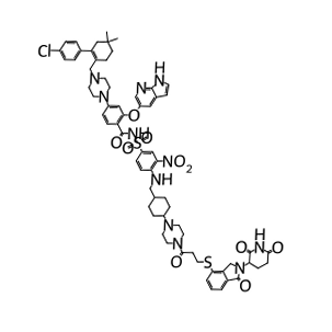 CC1(C)CCC(CN2CCN(c3ccc(C(=O)NS(=O)(=O)c4ccc(NCC5CCC(N6CCN(C(=O)CCSc7cccc8c7CN(C7CCC(=O)NC7=O)C8=O)CC6)CC5)c([N+](=O)[O-])c4)c(Oc4cnc5[nH]ccc5c4)c3)CC2)=C(c2ccc(Cl)cc2)C1